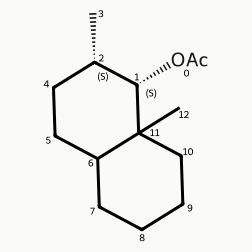 CC(=O)O[C@H]1[C@@H](C)CCC2CCCCC21C